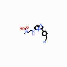 CN(CCNc1ccc2ncc(-c3ccc(CC#N)cc3)n2n1)C(=O)O